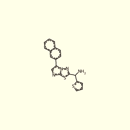 NC(c1cccs1)c1nn2c(-c3ccc4ccccc4c3)cnc2s1